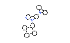 c1ccc2c(c1)-c1ccccc1-c1ccc(-n3c4ccc(-n5c6ccccc6c6ccccc65)cc4c4ccncc43)cc1-c1ccccc1-2